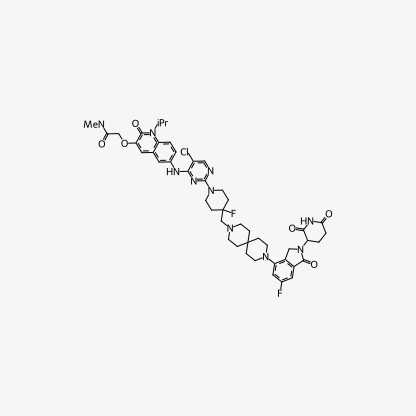 CNC(=O)COc1cc2cc(Nc3nc(N4CCC(F)(CN5CCC6(CC5)CCN(c5cc(F)cc7c5CN(C5CCC(=O)NC5=O)C7=O)CC6)CC4)ncc3Cl)ccc2n(C(C)C)c1=O